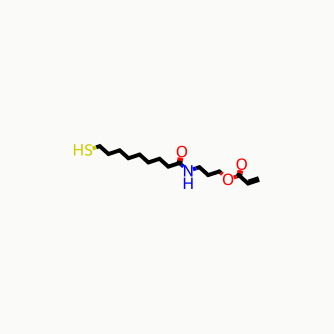 C=CC(=O)OCCCNC(=O)CCCCCCCCS